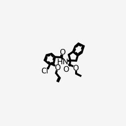 C=CCOc1c(Cl)cccc1C(=O)NC1(C(=O)OCC)Cc2ccccc2C1